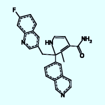 CC1=C(C(N)=O)C=CNC1(Cc1cnc2cc(F)ccc2c1)c1ccc2cnccc2c1